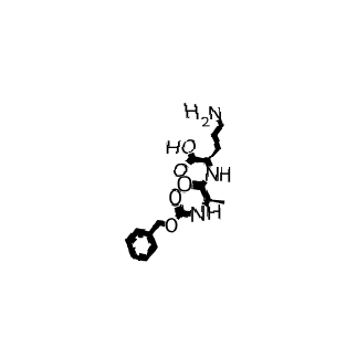 C[C@@H](NC(=O)OCc1ccccc1)C(=O)N[C@H](CCCN)C(=O)O